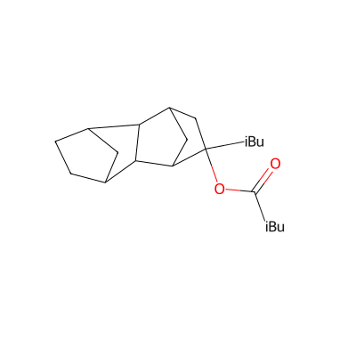 CCC(C)C(=O)OC1(C(C)CC)CC2CC1C1C3CCC(C3)C21